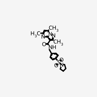 Cc1cc(C)n2nc(C)c(C(=O)NCc3ccc(S(=O)(=O)N4CCCC4)cc3)c2n1